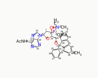 COP(N(C)C)[C@@]1(O)C[C@H](n2cnc3c(NC(C)=O)ncnc32)O[C@@H]1COC(c1ccccc1)(c1ccccc1)c1ccc(C)cc1